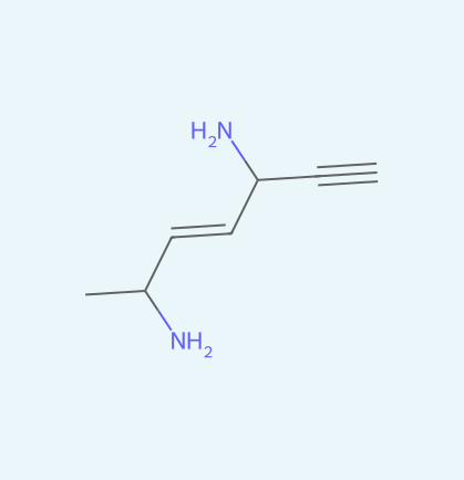 C#CC(N)/C=C/C(C)N